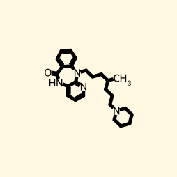 CC(CCCN1CCCCC1)CCCN1c2ccccc2C(=O)Nc2cccnc21